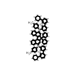 Cc1ccc(N(c2cc3c(c4ccccc24)-c2c(cc(N(c4ccc(C)cc4)c4cccc5c4oc4c(C6CCCCC6)cccc45)c4ccccc24)C3(c2ccccc2)c2ccccc2)c2cccc3c2oc2c(C4CCCCC4)cccc23)cc1